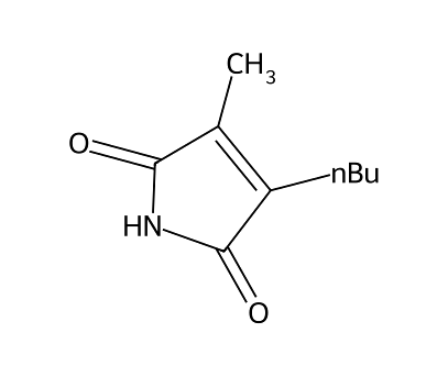 CCCCC1=C(C)C(=O)NC1=O